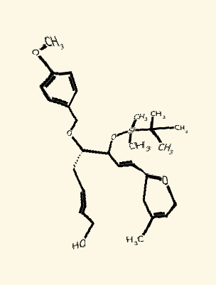 COc1ccc(CO[C@@H](C/C=C/CO)C(/C=C/[C@@H]2CC(C)=CCO2)O[Si](C)(C)C(C)(C)C)cc1